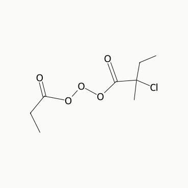 CCC(=O)OOOC(=O)C(C)(Cl)CC